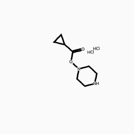 Cl.Cl.O=C(ON1CCNCC1)C1CC1